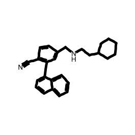 N#Cc1ccc(CNCCC2CCCCC2)cc1-c1cccc2ccccc12